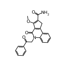 COC1=C(C(N)=O)Cc2c1c(=O)n(CC(=O)c1ccccc1)c1ccccc21